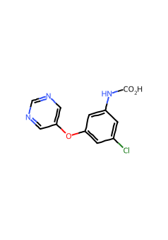 O=C(O)Nc1cc(Cl)cc(Oc2cncnc2)c1